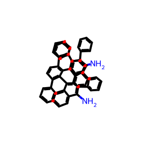 Nc1c(-c2ccccc2)c(-c2ccccc2)c(-c2c(-c3ccccc3)ccc(-c3ccccc3)c2-c2c(-c3ccccc3)c(-c3ccccc3)c(N)c3ccccc23)c2ccccc12